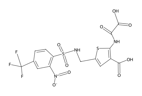 O=C(O)C(=O)Nc1sc(CNS(=O)(=O)c2ccc(C(F)(F)F)cc2[N+](=O)[O-])cc1C(=O)O